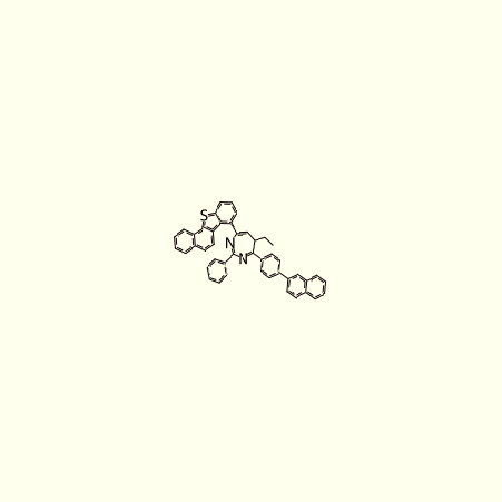 CCC1C=C(c2cccc3sc4c5ccccc5ccc4c23)N=C(c2ccccc2)N=C1c1ccc(-c2ccc3ccccc3c2)cc1